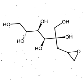 OC[C@@H](O)[C@@H](O)[C@H](O)[C@](O)(CO)CC1CO1